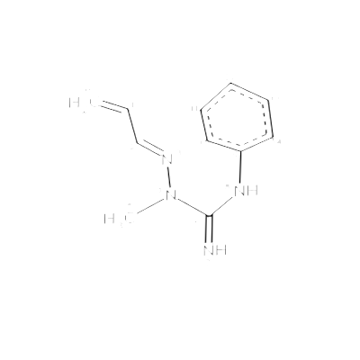 C=CC=NN(C)C(=N)Nc1ccccc1